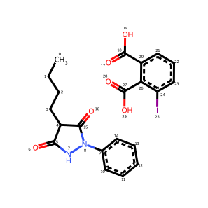 CCCCC1C(=O)NN(c2ccccc2)C1=O.O=C(O)c1cccc(I)c1C(=O)O